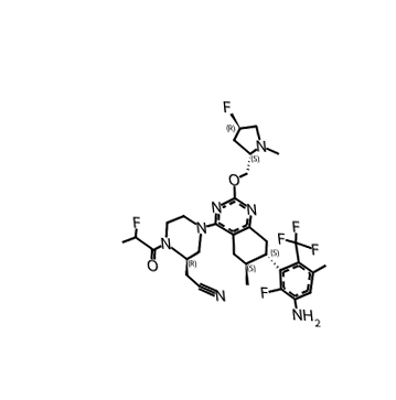 Cc1cc(N)c(F)c([C@H]2Cc3nc(OC[C@@H]4C[C@@H](F)CN4C)nc(N4CCN(C(=O)C(C)F)[C@H](CC#N)C4)c3C[C@@H]2C)c1C(F)(F)F